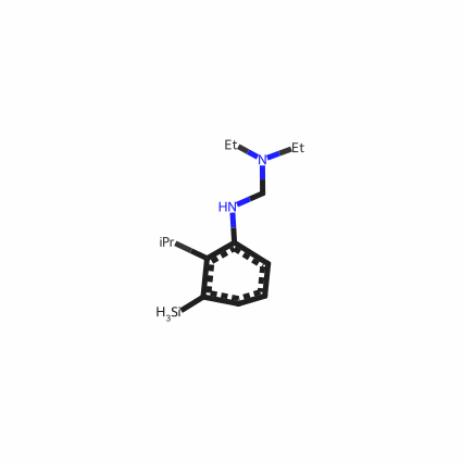 CCN(CC)CNc1cccc([SiH3])c1C(C)C